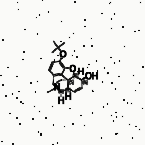 CN1CC[C@]23c4c5ccc(OC(C)(C)C)c4O[C@H]2[C@@H](O)C=C[C@H]3[C@H]1C5